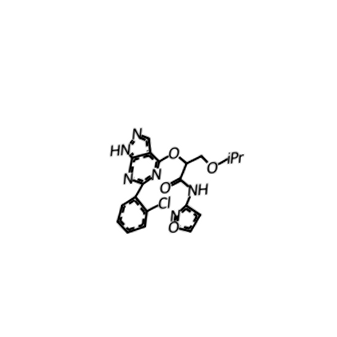 CC(C)OCC(Oc1nc(-c2ccccc2Cl)nc2[nH]ncc12)C(=O)Nc1ccon1